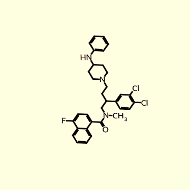 CN(CC(CCN1CCC(Nc2ccccc2)CC1)c1ccc(Cl)c(Cl)c1)C(=O)c1ccc(F)c2ccccc12